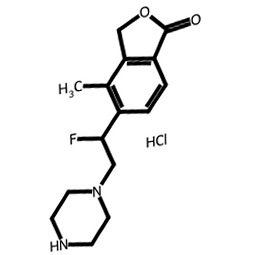 Cc1c(C(F)CN2CCNCC2)ccc2c1COC2=O.Cl